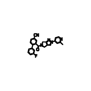 Cc1cc(-n2cc3c(n2)CN(C(=O)c2cc(C#N)ccc2-c2cccc(F)c2)C3)ccn1